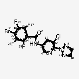 O=C(Nc1cnc(-n2nccn2)c(Cl)c1)c1c(F)c(F)c(Br)c(F)c1F